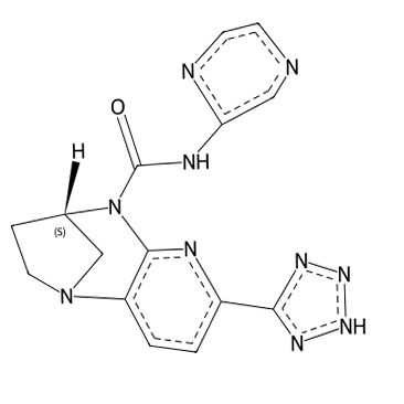 O=C(Nc1cnccn1)N1c2nc(-c3nn[nH]n3)ccc2N2CC[C@H]1C2